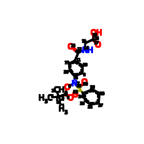 CC(C)(C)C(=O)ON(c1ccc(C(=O)NCC(=O)O)cc1)S(=O)(=O)c1ccccc1